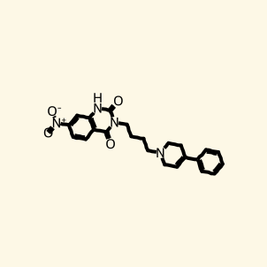 O=c1[nH]c2cc([N+](=O)[O-])ccc2c(=O)n1CCCCN1CC=C(c2ccccc2)CC1